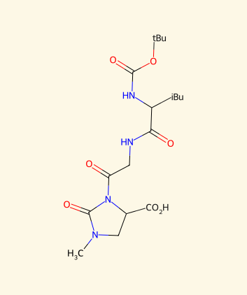 CCC(C)C(NC(=O)OC(C)(C)C)C(=O)NCC(=O)N1C(=O)N(C)CC1C(=O)O